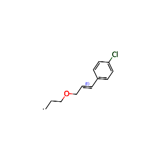 [CH2]CCOC/C=C/c1ccc(Cl)cc1